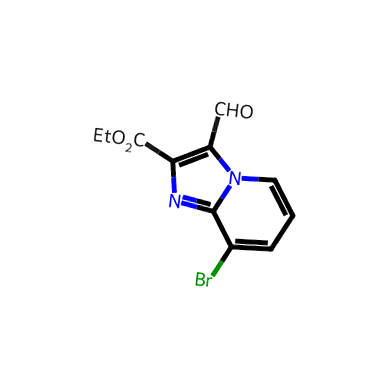 CCOC(=O)c1nc2c(Br)cccn2c1C=O